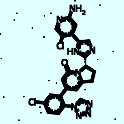 Nc1cc(-c2cnc([C@@H]3CCc4cc(-c5cc(Cl)ccc5-n5cnnn5)cc(=O)n43)[nH]2)c(Cl)cn1